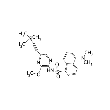 COc1nc(C#C[Si](C)(C)C)cnc1NS(=O)(=O)c1cccc2c(N(C)C)cccc12